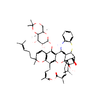 COC(=O)/C(C)=C\CC1(O)C(=O)C2CC(C(C)C)C13Oc1c(CC=C(C)C)c4c(c(O[C@@H]5O[C@@H]6COC(C)(C)O[C@H]6[C@H](O)[C@H]5O)c1C1=C3C2Sc2ccccc2N1)C=CC(C)(CCC=C(C)C)O4